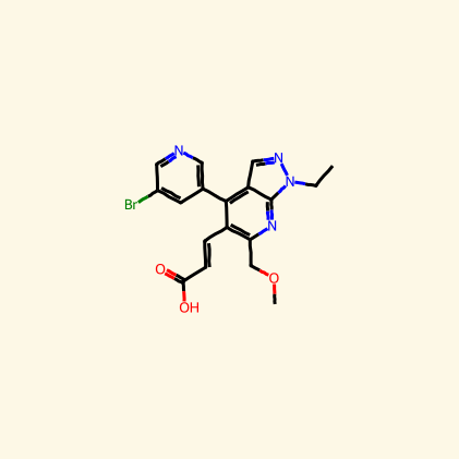 CCn1ncc2c(-c3cncc(Br)c3)c(/C=C/C(=O)O)c(COC)nc21